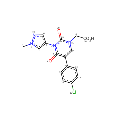 Cn1cc(-n2c(=O)c(-c3ccc(Cl)cc3)cn(CC(=O)O)c2=O)cn1